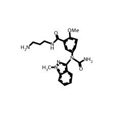 COc1ccc(N(C(N)=O)c2nn(C)c3ccccc23)cc1C(=O)NCCCN